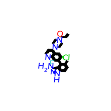 C=CC(=O)N1CCN(c2ccnc3c(F)c(-c4c(C)ccc5[nH]nc(N)c45)c(Cl)cc23)CC1